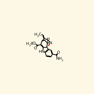 C/C=C1/CN2CC[C@]34C(=C(C(=O)OC)C1C[C@H]23)Nc1ccc(C(N)=O)cc14